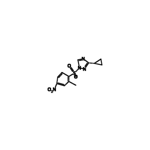 Cc1cc([N+](=O)[O-])ccc1S(=O)(=O)n1cnc(C2CC2)n1